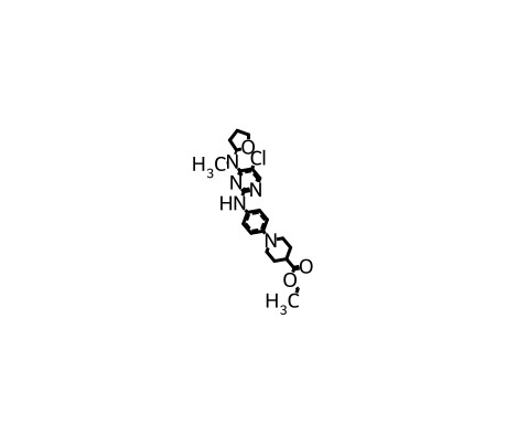 CCOC(=O)C1CCN(c2ccc(Nc3ncc(Cl)c(N(C)[C@H]4CCCO4)n3)cc2)CC1